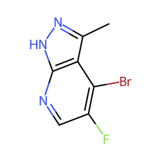 Cc1n[nH]c2ncc(F)c(Br)c12